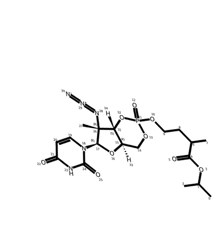 CC(C)OC(=O)C(C)CCOP1(=O)OC[C@H]2O[C@@H](n3ccc(=O)[nH]c3=O)[C@](C)(N=[N+]=[N-])[C@@H]2O1